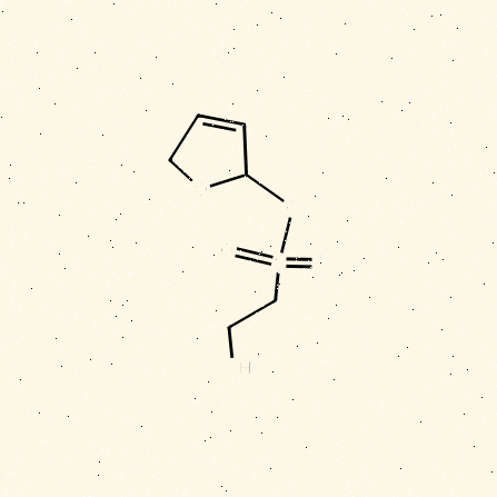 CCCS(=O)(=O)OC1C=CCO1